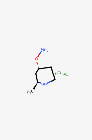 C[C@H]1C[C@H](ON)CCN1.Cl.Cl